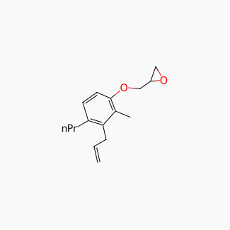 C=CCc1c(CCC)ccc(OCC2CO2)c1C